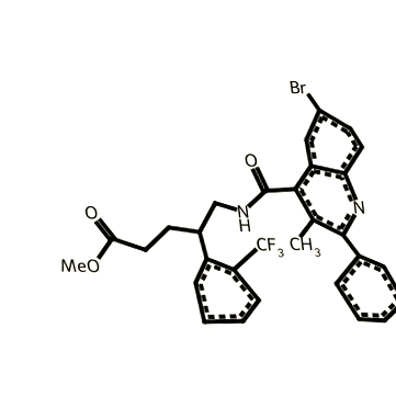 COC(=O)CCC(CNC(=O)c1c(C)c(-c2ccccc2)nc2ccc(Br)cc12)c1ccccc1C(F)(F)F